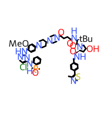 COc1cc(N2CCC(N3CCN(C(=O)CCC(=O)N[C@H](C(=O)N4C[C@H](O)C[C@H]4C(=O)NCc4ccc(-c5scnc5C)cc4)C(C)(C)C)CC3)CC2)ccc1Nc1ncc(Cl)c(Nc2ccccc2P(C)(C)=O)n1